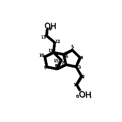 OCCC1CCC2C1C1CCC2(CCO)C1